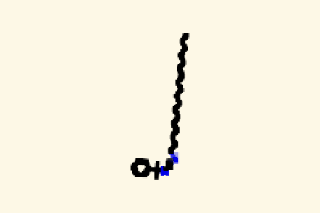 CCCCCCCCCCCCCCCCCCN=C=NC(C)(C)c1ccccc1